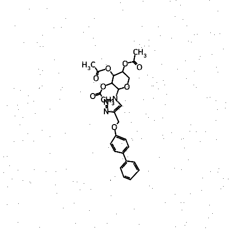 CC(=O)OC1COC(n2cc(COc3ccc(-c4ccccc4)cc3)nn2)C(OC(C)=O)C1OC(C)=O